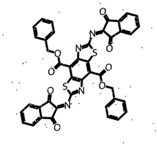 O=C(OCc1ccccc1)c1c2nc(N=c3c(=O)c4ccccc4c3=O)sc2c(C(=O)OCc2ccccc2)c2nc(N=c3c(=O)c4ccccc4c3=O)sc12